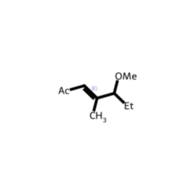 CCC(OC)/C(C)=C/C(C)=O